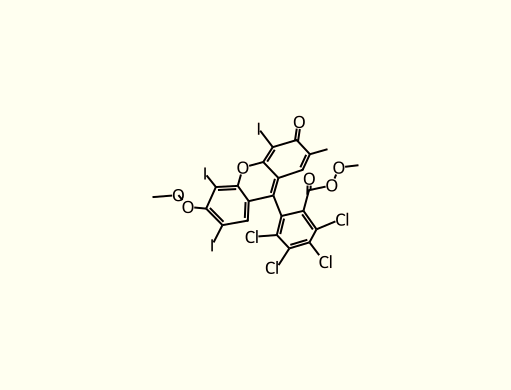 COOC(=O)c1c(Cl)c(Cl)c(Cl)c(Cl)c1-c1c2cc(C)c(=O)c(I)c-2oc2c(I)c(OOC)c(I)cc12